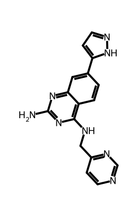 Nc1nc(NCc2ccncn2)c2ccc(-c3ccn[nH]3)cc2n1